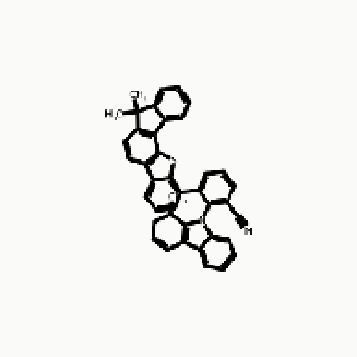 CC1CC=Cc2c1n(-c1c(C#N)cccc1-c1cccc3c1sc1c4c(ccc13)C(C)(C)c1ccccc1-4)c1ccccc21